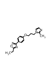 CCc1nc(-c2ccc(OCCCn3ccnc3C)cc2)no1